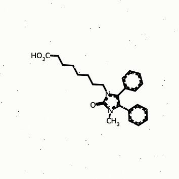 Cn1c(-c2ccccc2)c(-c2ccccc2)n(CCCCCCCC(=O)O)c1=O